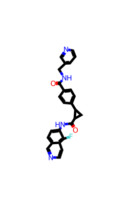 O=C(NCc1cccnc1)c1ccc(C2CC2C(=O)Nc2ccc3cnccc3c2F)cc1